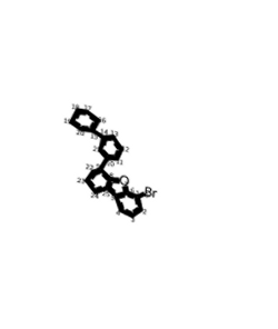 Brc1cccc2c1oc1c(-c3cccc(-c4ccccc4)c3)cccc12